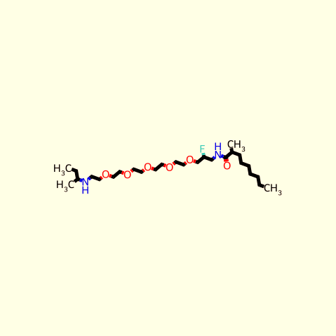 CCCCCCCC(C)C(=O)NCC(F)COCCOCCOCCOCCOCCNC(C)CC